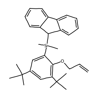 C=CCOc1c(C(C)(C)C)cc(C(C)(C)C)cc1[Si](C)(C)C1c2ccccc2-c2ccccc21